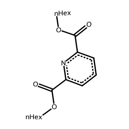 CCCCCCOC(=O)c1cccc(C(=O)OCCCCCC)n1